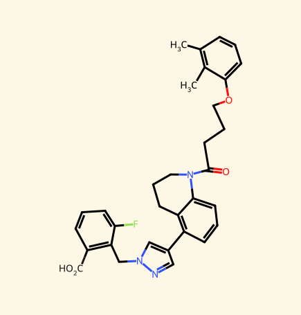 Cc1cccc(OCCCC(=O)N2CCCc3c(-c4cnn(Cc5c(F)cccc5C(=O)O)c4)cccc32)c1C